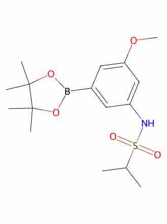 COc1cc(NS(=O)(=O)C(C)C)cc(B2OC(C)(C)C(C)(C)O2)c1